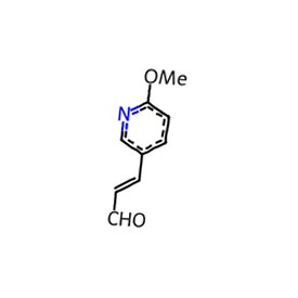 COc1ccc(/C=C/C=O)cn1